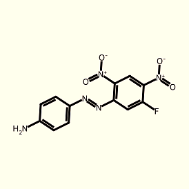 Nc1ccc(/N=N/c2cc(F)c([N+](=O)[O-])cc2[N+](=O)[O-])cc1